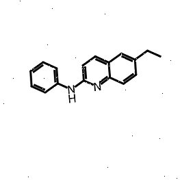 CCc1ccc2nc(Nc3ccccc3)ccc2c1